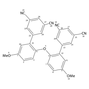 COc1ccc(Oc2ccc(OC)cc2-c2cc(C#N)cc(C#N)c2)c(-c2cc(C#N)cc(C#N)c2)c1